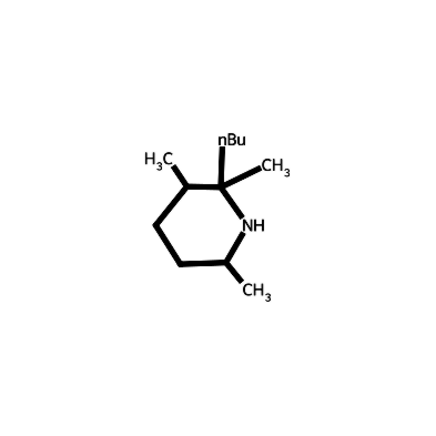 CCCCC1(C)NC(C)CCC1C